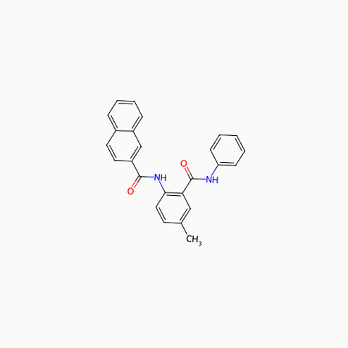 Cc1ccc(NC(=O)c2ccc3ccccc3c2)c(C(=O)Nc2ccccc2)c1